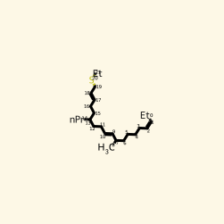 CC/C=C\CCCCC(C)/C=C/CCC(CCC)CC/C=C/CSCC